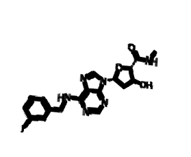 CNC(=O)[C@H]1O[C@@H](n2cnc3c(NCc4cccc(I)c4)ncnc32)CC1O